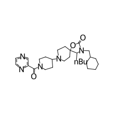 CCCCC1N(CC2CCCCC2)C(=O)OC12CCN(C1CCN(C(=O)c3cnccn3)CC1)CC2